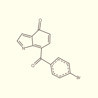 O=C1C=CC(C(=O)c2ccc(Br)cc2)=C2N=CC=C12